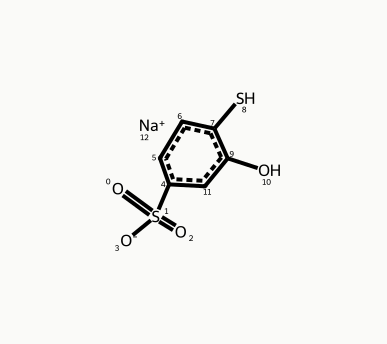 O=S(=O)([O-])c1ccc(S)c(O)c1.[Na+]